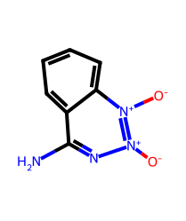 Nc1n[n+]([O-])[n+]([O-])c2ccccc12